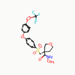 O=C(NO)C1(CS(=O)(=O)c2ccc(Oc3ccc(OC(F)(F)F)cc3)cc2)CCOCC1